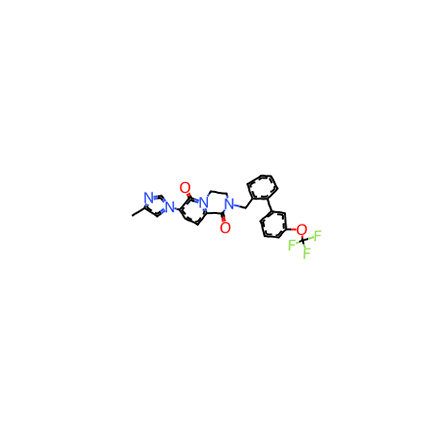 Cc1cn(-c2ccc3n(c2=O)CCN(Cc2ccccc2-c2cccc(OC(F)(F)F)c2)C3=O)cn1